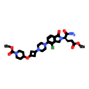 CC(C)(C)OC(=O)CC[C@@H](C(N)=O)N1Cc2c(ccc(N3CCN(C4CC(OC5CCN(C(=O)OC(C)(C)C)CC5)C4)CC3)c2Cl)C1=O